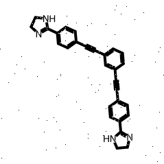 C(#Cc1cccc(C#Cc2ccc(C3=NCCN3)cc2)c1)c1ccc(C2=NCCN2)cc1